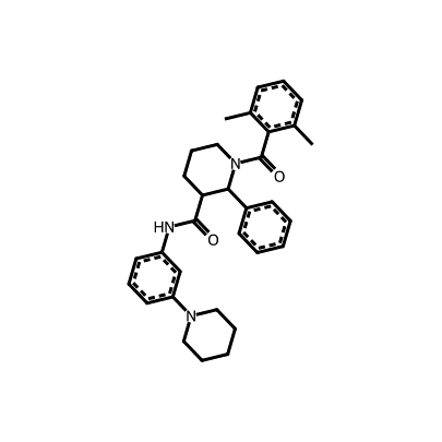 Cc1cccc(C)c1C(=O)N1CCCC(C(=O)Nc2cccc(N3CCCCC3)c2)C1c1ccccc1